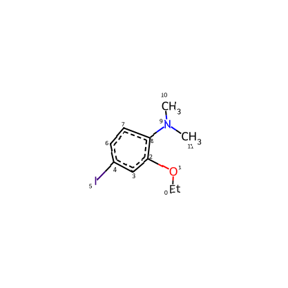 CCOc1cc(I)ccc1N(C)C